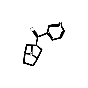 CN1C2CCC1CC(C(=O)c1cccnc1)C2